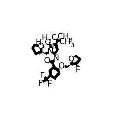 Cn1c(C(C)(C)C)c/c(=N/C(=O)c2cc(C(F)(F)F)ccc2OC[C@H]2OCC[C@H]2F)n1C[C@H]1CCCO1